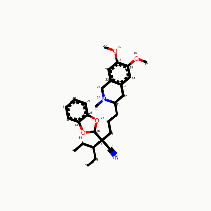 CCC(CC)C(C#N)(CCCC1Cc2cc(OC)c(OC)cc2CN1C)C1Oc2ccccc2O1